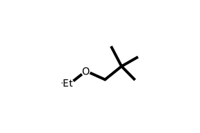 C[CH]OCC(C)(C)C